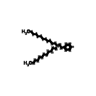 CCCCCCCCCCCCN(CCCCCCCCCCCC)CCc1ccccc1